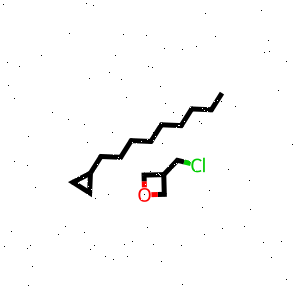 CCCCCCCCCC1CC1.ClCC1COC1